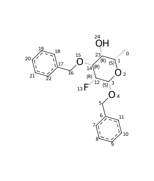 C[C@@H]1O[C@H](OCc2ccccc2)[C@H](F)[C@H](OCc2ccccc2)[C@@H]1O